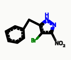 O=[N+]([O-])c1n[nH]c(Cc2ccccc2)c1Br